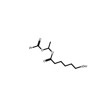 CCCCCCCCCCCCCCCC(=O)OC(C)OC(=O)C(C)C